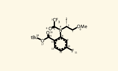 COC[C@@H](C)N(C(=O)C(F)(F)F)c1cc(F)ccc1C(=O)OC(C)(C)C